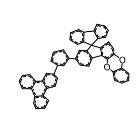 c1cc(-c2ccc3c(c2)C2(c4ccccc4-c4ccccc42)c2ccc4c(c2-3)Oc2ccccc2O4)cc(-c2ccc3c4ccccc4c4ccccc4c3c2)c1